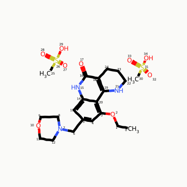 CCOc1cc(CN2CCOCC2)cc2[nH]c(=O)c3c(c12)NCCC3.CS(=O)(=O)O.CS(=O)(=O)O